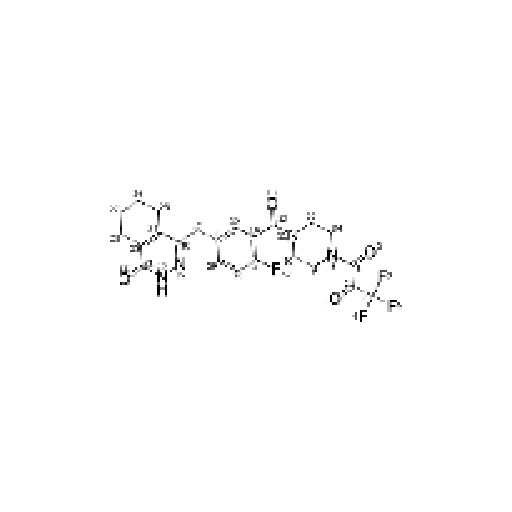 O=C(C(=O)C(F)(F)F)N1CCN(C(=O)c2cc(Cc3n[nH]c(=O)c4c3CCCC4)ccc2F)CC1